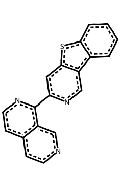 c1ccc2c(c1)sc1cc(-c3nccc4ccncc34)ncc12